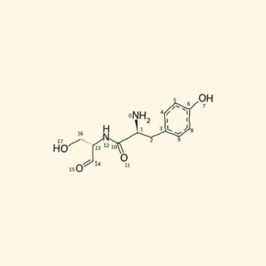 N[C@@H](Cc1ccc(O)cc1)C(=O)N[C@H]([C]=O)CO